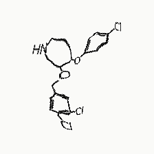 Clc1ccc(OC2CCNCC2OCc2ccc(Cl)c(Cl)c2)cc1